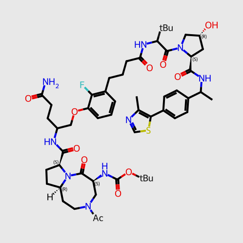 CC(=O)N1CC[C@H]2CC[C@@H](C(=O)NC(CCC(N)=O)COc3cccc(CCCC(=O)NC(C(=O)N4C[C@H](O)C[C@H]4C(=O)NC(C)c4ccc(-c5scnc5C)cc4)C(C)(C)C)c3F)N2C(=O)[C@@H](NC(=O)OC(C)(C)C)C1